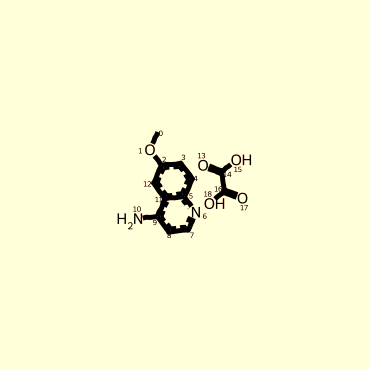 COc1ccc2nccc(N)c2c1.O=C(O)C(=O)O